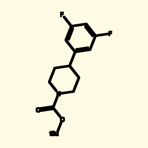 CC(C)(C)OC(=O)N1CCC(c2cc(F)cc(F)c2)CC1